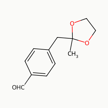 CC1(Cc2ccc(C=O)cc2)OCCO1